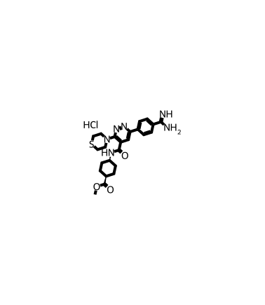 COC(=O)[C@H]1CC[C@H](NC(=O)c2cc(-c3ccc(C(=N)N)cc3)nnc2N2CCSCC2)CC1.Cl